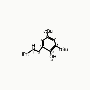 CC(C)NCc1cc(C(C)(C)C)cc(C(C)(C)C)c1O